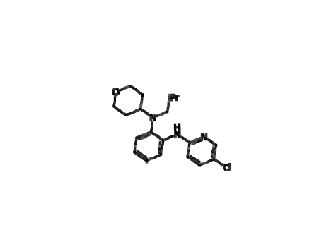 CC(C)CN(c1cc[c]cc1Nc1ccc(Cl)cn1)C1CCOCC1